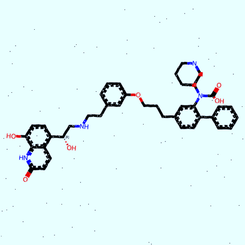 O=C(O)N(c1cc(CCCOc2cccc(CCNC[C@H](O)c3ccc(O)c4[nH]c(=O)ccc34)c2)ccc1-c1ccccc1)C1CN2CCC1CC2